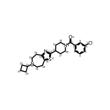 O=C(c1cccc(Cl)c1)N1CCC(c2nc3c(s2)CCN(C2CCC2)CC3)CC1